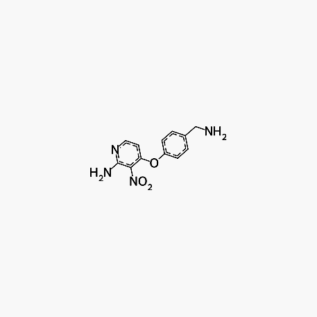 NCc1ccc(Oc2ccnc(N)c2[N+](=O)[O-])cc1